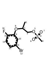 CC(COS(C)(=O)=O)Oc1cc(Br)ccc1F